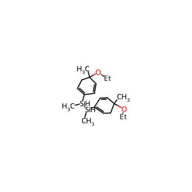 CCOC1(C)C=CC([SiH](C)[SiH](C)C2=CCC(C)(OCC)C=C2)=CC1